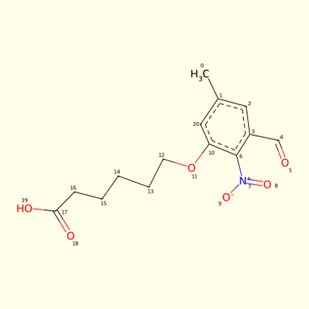 Cc1cc(C=O)c([N+](=O)[O-])c(OCCCCCC(=O)O)c1